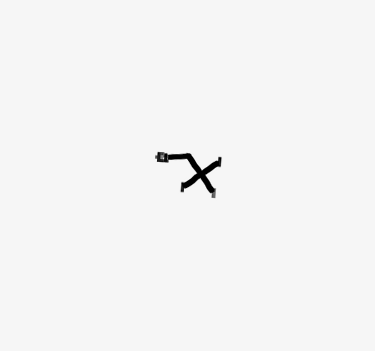 C[CH]CC(I)(I)I